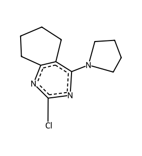 Clc1nc2c(c(N3CCCC3)n1)CCCC2